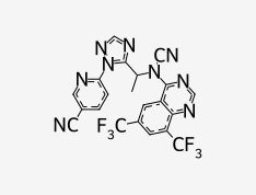 CC(c1ncnn1-c1ccc(C#N)cn1)N(C#N)c1ncnc2c(C(F)(F)F)cc(C(F)(F)F)cc12